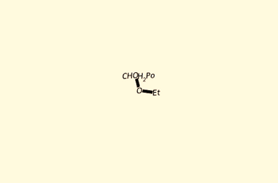 CCOC=O.[PoH2]